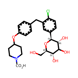 O=C(O)N1CCC(Oc2ccc(Cc3cc([C@@H]4O[C@H](CO)[C@@H](O)C(O)[C@H]4O)ccc3Cl)cc2)CC1